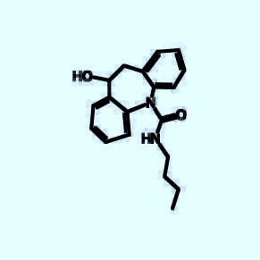 CCCCNC(=O)N1c2ccccc2CC(O)c2ccccc21